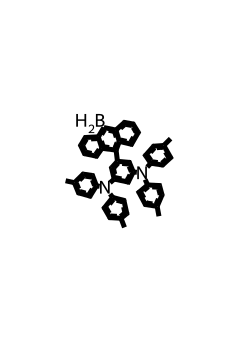 Bc1c2ccccc2c(-c2cc(N(c3ccc(C)cc3)c3ccc(C)cc3)cc(N(c3ccc(C)cc3)c3ccc(C)cc3)c2)c2ccccc12